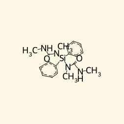 CNC(=O)N(C)[Si](c1ccccc1)(c1ccccc1)N(C)C(=O)NC